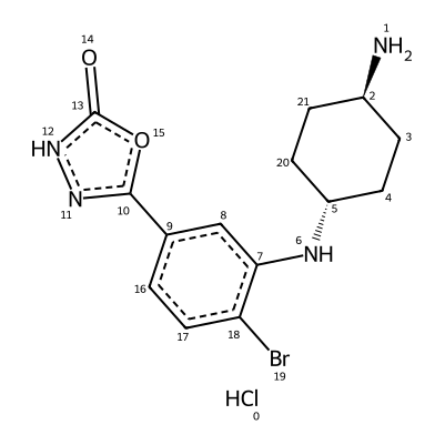 Cl.N[C@H]1CC[C@H](Nc2cc(-c3n[nH]c(=O)o3)ccc2Br)CC1